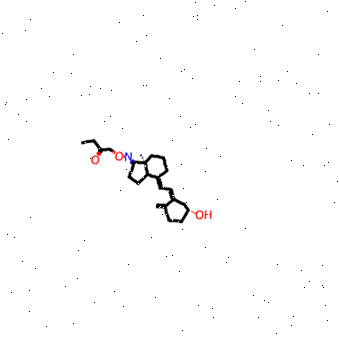 C=C1CC[C@@H](O)C/C1=C/C=C1\CCC[C@]2(C)/C(=N/OCC(=O)CC)CCC12